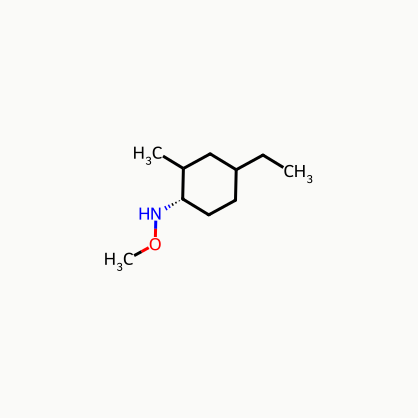 CCC1CC[C@H](NOC)C(C)C1